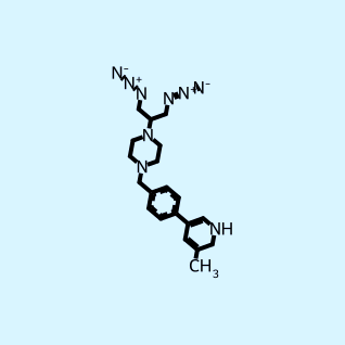 CC1=CC(c2ccc(CN3CCN(C(CN=[N+]=[N-])CN=[N+]=[N-])CC3)cc2)=CNC1